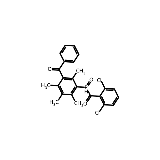 Cc1c(C)c(C(=O)c2ccccc2)c(C)c([PH](=O)C(=O)c2c(Cl)cccc2Cl)c1C